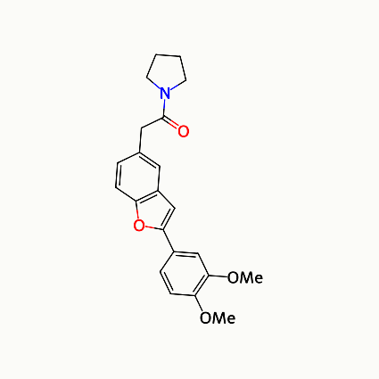 COc1ccc(-c2cc3cc(CC(=O)N4CCCC4)ccc3o2)cc1OC